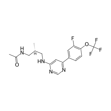 CC(=O)NC[C@H](C)CNc1cc(-c2ccc(OC(F)(F)F)c(F)c2)ncn1